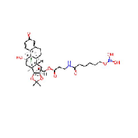 CC1(C)O[C@@H]2C[C@H]3[C@@H]4CCC5=CC(=O)C=C[C@]5(C)[C@@]4(F)[C@@H](O)C[C@]3(C)[C@]2(C(=O)COC(=O)CCNC(=O)CCCCCON(O)O)O1